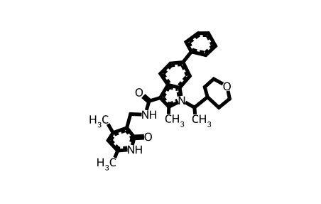 Cc1cc(C)c(CNC(=O)c2c(C)n(C(C)C3CCOCC3)c3cc(-c4ccccc4)ccc23)c(=O)[nH]1